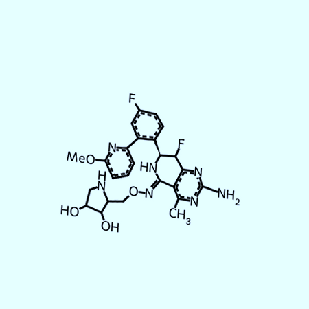 COc1cccc(-c2cc(F)ccc2[C@@H]2N/C(=N\OCC3NCC(O)C3O)c3c(C)nc(N)nc3C2F)n1